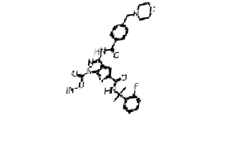 CC(C)OC(=O)n1nc(NC(=O)c2ccc(CN3CCOCC3)cc2)c2cc(C(=O)NC(C)(C)c3ccccc3F)sc21